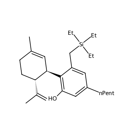 C=C(C)[C@@H]1CCC(C)=C[C@H]1c1c(O)cc(CCCCC)cc1C[Si](CC)(CC)CC